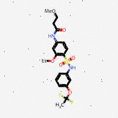 CCOc1cc(NC(=O)CCOC)ccc1S(=O)(=O)Nc1cccc(OC(C)(F)F)c1